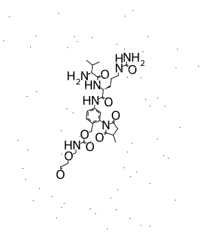 CC1CC(=O)N(c2cc(NC(=O)[C@H](CCCNC(N)=O)NC(=O)[C@@H](N)C(C)C)ccc2COC(=O)NCOCC=O)C1=O